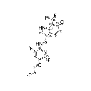 FCCOc1cc(F)c(NSc2c[nH]c3c(C(F)F)c(Cl)ccc23)nc1F